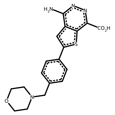 Nc1nnc(C(=O)O)c2sc(-c3ccc(CN4CCOCC4)cc3)cc12